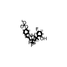 COC(=O)Oc1ccc2cc(CC(O)(CC(C)(C)c3cc(F)ccc3O)C(F)(F)F)[nH]c2c1